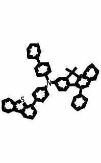 CC1(C)c2cc(N(c3ccc(-c4ccccc4)cc3)c3ccc(-c4cccc5c4sc4ccccc45)cc3)ccc2-c2c(-c3ccccc3)cc3ccccc3c21